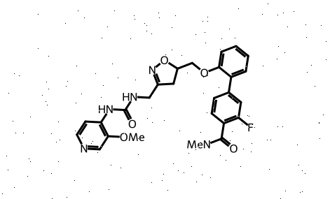 CNC(=O)c1ccc(-c2ccccc2OCC2CC(CNC(=O)Nc3ccncc3OC)=NO2)cc1F